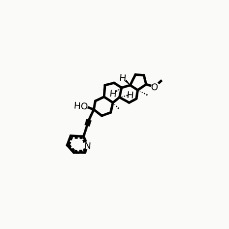 COC1CC[C@H]2[C@@H]3CCC4CC(O)(C#Cc5ccccn5)CC[C@]4(C)[C@@H]3CC[C@]12C